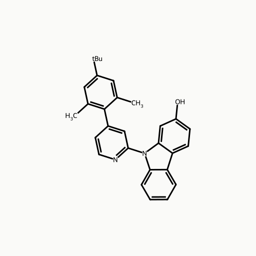 Cc1cc(C(C)(C)C)cc(C)c1-c1ccnc(-n2c3ccccc3c3ccc(O)cc32)c1